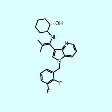 CC(C)=C(N[C@H]1CCCC[C@@H]1O)c1cn(Cc2cccc(F)c2F)c2cccnc12